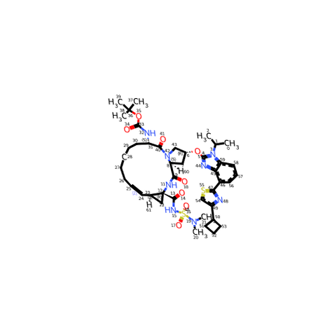 CC(C)n1c(O[C@@H]2C[C@H]3C(=O)N[C@]4(C(=O)NS(=O)(=O)N(C)C)C[C@H]4/C=C\CCCCC[C@H](NC(=O)OC(C)(C)C)C(=O)N3C2)nc2c(-c3nc(C4CCC4)cs3)cccc21